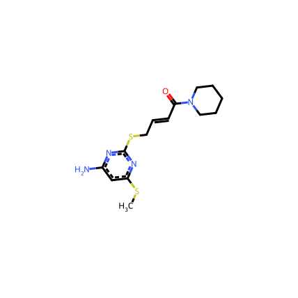 CSc1cc(N)nc(SC/C=C/C(=O)N2CCCCC2)n1